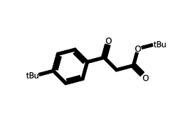 CC(C)(C)OC(=O)CC(=O)c1ccc(C(C)(C)C)cc1